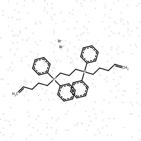 C=CCCC[P+](CCC[P+](CCCC=C)(c1ccccc1)c1ccccc1)(c1ccccc1)c1ccccc1.[Br-].[Br-]